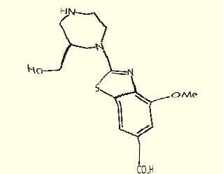 COc1cc(C(=O)O)cc2sc(N3CCNCC3CO)nc12